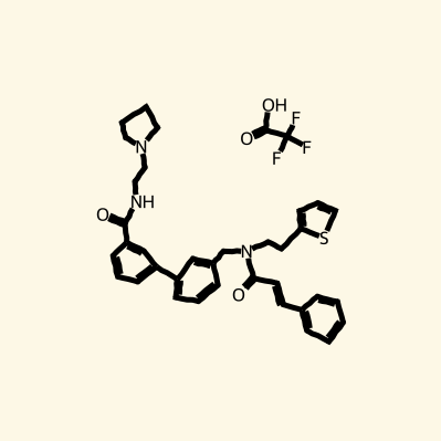 O=C(NCCN1CCCC1)c1cccc(-c2cccc(CN(CCc3cccs3)C(=O)C=Cc3ccccc3)c2)c1.O=C(O)C(F)(F)F